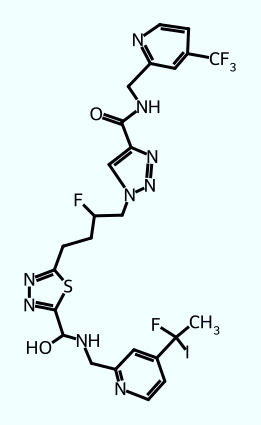 CC(F)(I)c1ccnc(CNC(O)c2nnc(CCC(F)Cn3cc(C(=O)NCc4cc(C(F)(F)F)ccn4)nn3)s2)c1